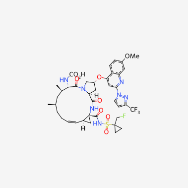 COc1ccc2c(O[C@@H]3C[C@H]4C(=O)N[C@]5(C(=O)NS(=O)(=O)C6(CF)CC6)C[C@H]5C=CCC[C@@H](C)C[C@@H](C)[C@H](NC(=O)O)C(=O)N4C3)cc(-n3ccc(C(F)(F)F)n3)nc2c1